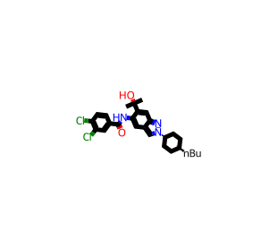 CCCC[C@H]1CC[C@H](n2cc3cc(NC(=O)c4ccc(Cl)c(Cl)c4)c(C(C)(C)O)cc3n2)CC1